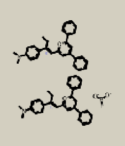 CC/C(=C\c1cc(-c2ccccc2)cc(-c2ccccc2)[o+]1)c1ccc(N(C)C)cc1.CC/C(=C\c1cc(-c2ccccc2)cc(-c2ccccc2)[o+]1)c1ccc(N(C)C)cc1.[O-]B([O-])F